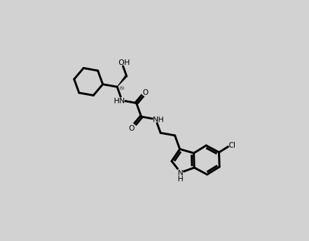 O=C(NCCc1c[nH]c2ccc(Cl)cc12)C(=O)N[C@H](CO)C1CCCCC1